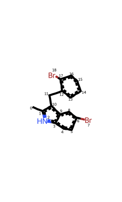 Cc1[nH]c2ccc(Br)cc2c1Cc1ccccc1Br